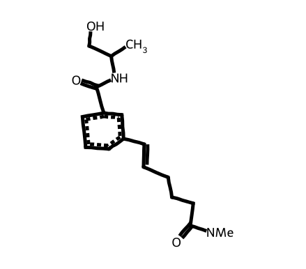 CNC(=O)CCCC=Cc1cccc(C(=O)NC(C)CO)c1